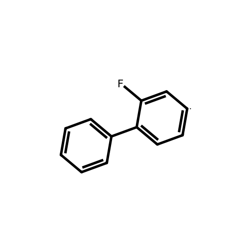 Fc1c[c]ccc1-c1ccccc1